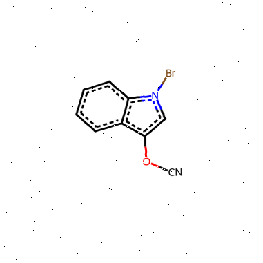 N#COc1cn(Br)c2ccccc12